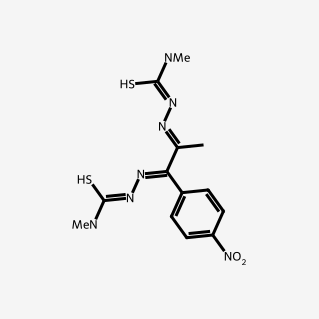 CN/C(S)=N/N=C(C)/C(=N/N=C(\S)NC)c1ccc([N+](=O)[O-])cc1